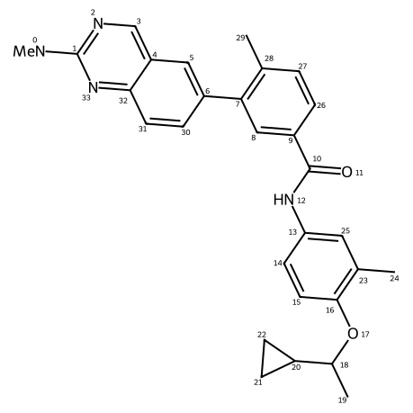 CNc1ncc2cc(-c3cc(C(=O)Nc4ccc(OC(C)C5CC5)c(C)c4)ccc3C)ccc2n1